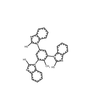 Cc1c(-n2c(S)nc3ccccc32)cc(-n2c(S)nc3ccccc32)cc1-n1c(S)nc2ccccc21